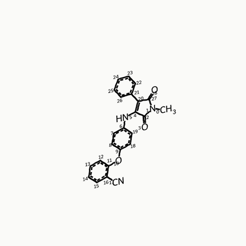 CN1C(=O)C(Nc2ccc(Oc3ccccc3C#N)cc2)=C(c2ccccc2)C1=O